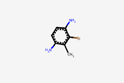 Cc1c(N)ccc(N)c1Br